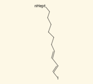 CCCCCCCCCCCCC/C=C/C=C/I